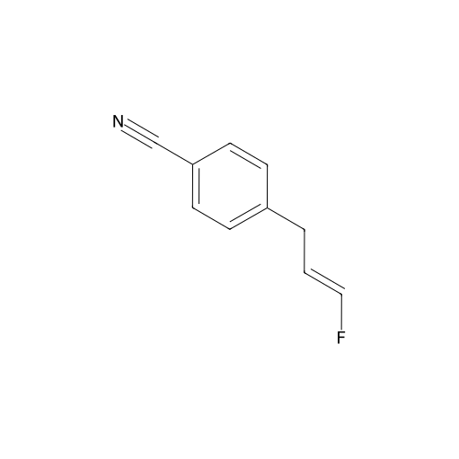 N#Cc1ccc(CC=CF)cc1